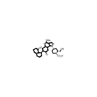 CSc1nc2c(F)c(-c3cccc4cccc(Cl)c34)c(Cl)cc2c2c1cnn2[C@H]1CCN(C(=O)O)[C@H](CC#N)C1